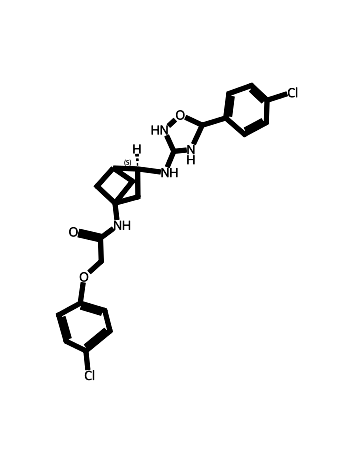 O=C(COc1ccc(Cl)cc1)NC12CC(C1)[C@@H](NC1NOC(c3ccc(Cl)cc3)N1)C2